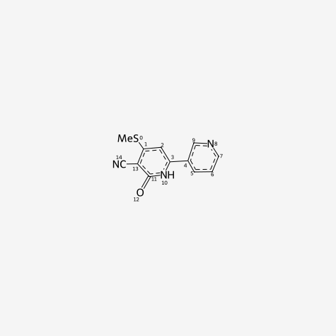 CSc1cc(-c2cccnc2)[nH]c(=O)c1C#N